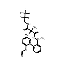 C[C@@H](NC(=O)C(C)(C)C(=O)NCC(F)(F)C(F)(F)F)c1ccccc1-c1ccccc1NC=O